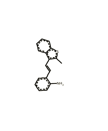 Cc1sc2ccccc2c1/C=C/c1ccccc1N